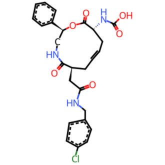 O=C(O)N[C@@H]1C/C=C/C[C@@H](CC(=O)NCc2ccc(Cl)cc2)C(=O)NC[C@@H](c2ccccc2)OC1=O